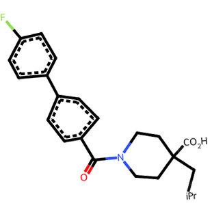 CC(C)CC1(C(=O)O)CCN(C(=O)c2ccc(-c3ccc(F)cc3)cc2)CC1